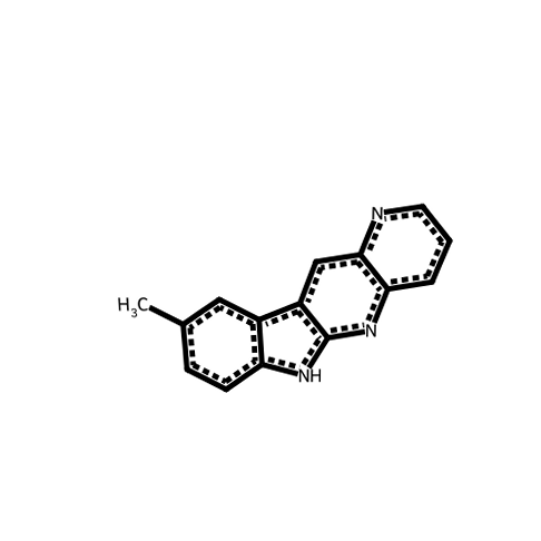 Cc1ccc2[nH]c3nc4cccnc4cc3c2c1